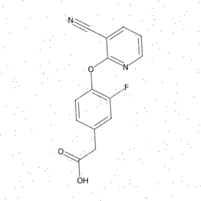 N#Cc1cccnc1Oc1ccc(CC(=O)O)cc1F